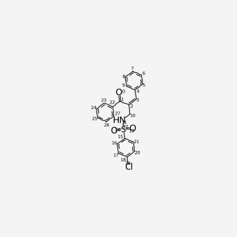 O=C(C(=Cc1ccccc1)CNS(=O)(=O)c1ccc(Cl)cc1)c1ccccc1